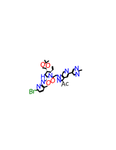 C=C[C@@H]1[C@@H](C2COC(C)(C)O2)C[C@@H](C(=O)Nc2nc(Br)ccc2C)N1C(=O)Cn1nc(C(C)=O)c2cc(-c3cnc(C)nc3)ncc21